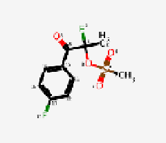 CC(F)(OS(C)(=O)=O)C(=O)c1ccc(F)cc1